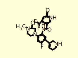 CC1CN(c2cc(F)c(C3=CCCNC3)cc2NC(=O)c2c[nH]c(=O)cc2C(F)F)CCN1C